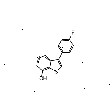 Oc1cncc2c(-c3ccc(F)cc3)csc12